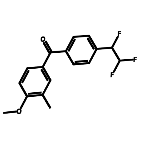 COc1ccc(C(=O)c2ccc(C(F)C(F)F)cc2)cc1C